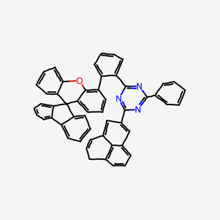 C1=Cc2cc(-c3nc(-c4ccccc4)nc(-c4ccccc4-c4cccc5c4Oc4ccccc4C54c5ccccc5-c5ccccc54)n3)cc3cccc(c23)C1